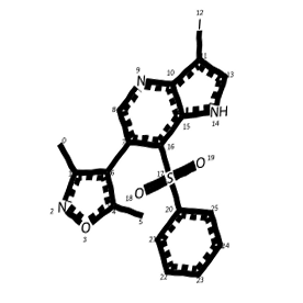 Cc1noc(C)c1-c1cnc2c(I)c[nH]c2c1S(=O)(=O)c1ccccc1